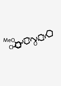 COc1cc(N2CCN(CC(=O)N3CCN(C4CCCCC4)CC3)CC2)ccc1Cl